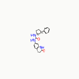 O=C1CCc2ccc(NC(=O)N[C@@H]3CC[C@@H](c4ccccc4)C3)cc2N1